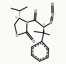 CC(C)[C@H]1COC(=O)N1C(=O)[C@@H](N=[N+]=[N-])C(C)(C)c1ccccc1